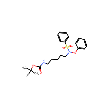 CC(C)(C)OC(=O)NCCCCCN(Oc1ccccc1)S(=O)(=O)c1ccccc1